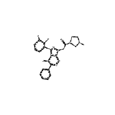 O=C(Cn1nc(-c2cccc(F)c2F)c2c(Cl)c(-c3ccccc3)nnc21)N1CC[C@@H](F)C1